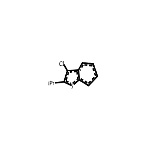 CC(C)c1sc2ccccc2c1Cl